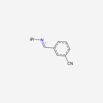 CC(C)/N=C/c1cccc(C#N)c1